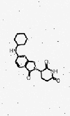 O=C1CCC(N2Cc3cc(NC4CCCCC4)ccc3C2=O)C(=O)N1